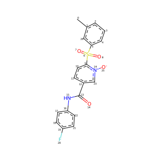 Cc1cccc(S(=O)(=O)c2ccc(C(=O)Nc3ccc(F)cc3)c[n+]2[O-])c1